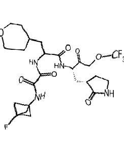 O=C(NC(CC1CCOCC1)C(=O)N[C@@H](C[C@@H]1CCNC1=O)C(=O)COC(F)(F)F)C(=O)NC12CC(F)(C1)C2